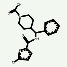 O=C(NC(c1ccccc1)C1CCN(C(=O)O)CC1)c1ccc(Cl)s1